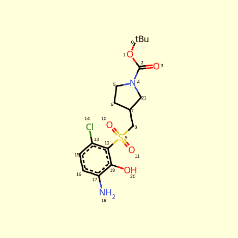 CC(C)(C)OC(=O)N1CCC(CS(=O)(=O)c2c(Cl)ccc(N)c2O)C1